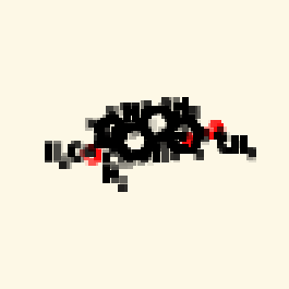 CO[C@H]1CC[C@@]2(C=O)[C@@H](CC[C@H]3[C@@H]4CC[C@H](OC)[C@@]4(C)CC[C@@H]32)C1